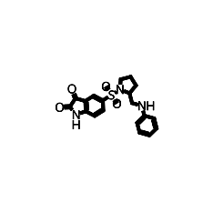 O=C1Nc2ccc(S(=O)(=O)N3CCCC3CNc3ccccc3)cc2C1=O